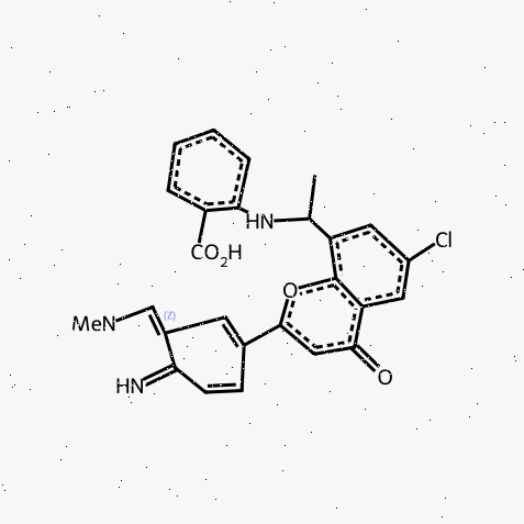 CN/C=C1/C=C(c2cc(=O)c3cc(Cl)cc(C(C)Nc4ccccc4C(=O)O)c3o2)C=CC1=N